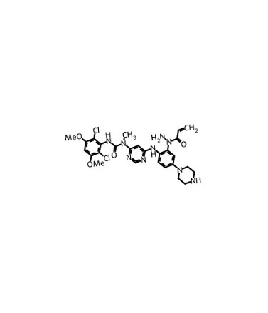 C=CC(=O)N(N)c1cc(N2CCNCC2)ccc1Nc1cc(N(C)C(=O)Nc2c(Cl)c(OC)cc(OC)c2Cl)ncn1